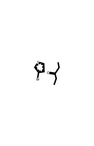 Brc1ccsc1.CCC(=O)CC